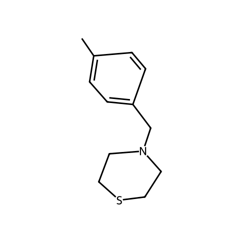 Cc1ccc(CN2CCSCC2)cc1